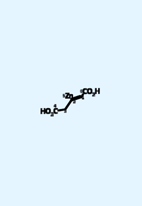 O=C(O)C=CCC(=O)O.[Zn]